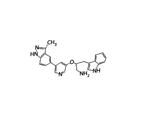 Cc1n[nH]c2ccc(-c3cncc(OC(CN)Cc4c[nH]c5ccccc45)c3)cc12